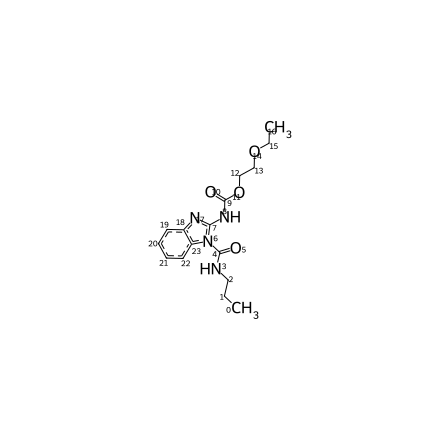 CCCNC(=O)n1c(NC(=O)OCCOCC)nc2ccccc21